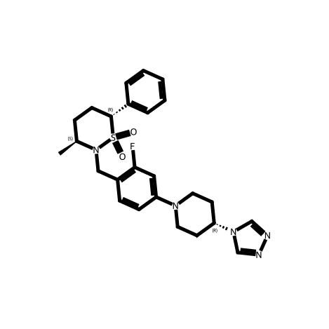 C[C@H]1CC[C@H](c2ccccc2)S(=O)(=O)N1Cc1ccc(N2C[CH][C@@H](n3cnnc3)CC2)cc1F